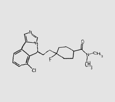 CN(C)C(=O)C1CCC(F)(CCC2c3c(Cl)cccc3-c3cncn32)CC1